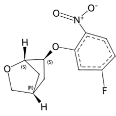 O=[N+]([O-])c1ccc(F)cc1O[C@H]1C[C@@H]2CO[C@H]1C2